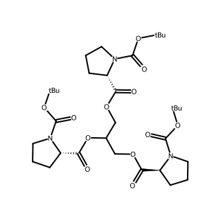 CC(C)(C)OC(=O)N1CCC[C@H]1C(=O)OCC(COC(=O)[C@@H]1CCCN1C(=O)OC(C)(C)C)OC(=O)[C@@H]1CCCN1C(=O)OC(C)(C)C